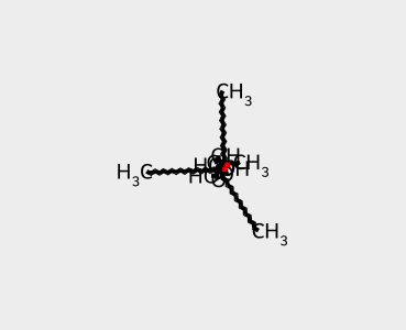 CCCCCCCCCCCCCCCCCC(CCCCCCCCCCCCCCCCC)(C(=O)O)C(O)(C(=O)O)C(CCCCCCCCCCCCCCCCC)(C(=O)O)C(=O)CCC